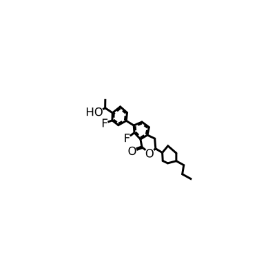 CCCC1CCC(C2Cc3ccc(-c4ccc(C(C)O)c(F)c4)c(F)c3C(=O)O2)CC1